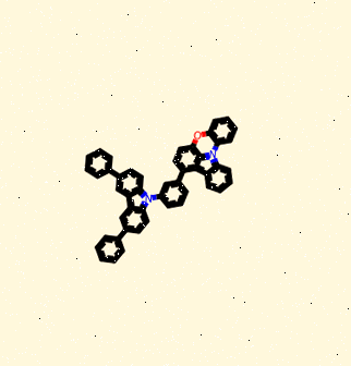 c1ccc(-c2ccc3c(c2)c2cc(-c4ccccc4)ccc2n3-c2cccc(-c3ccc4c5c3c3ccccc3n5-c3ccccc3O4)c2)cc1